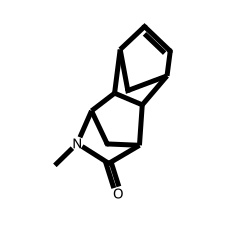 CN1C(=O)C2CC1C1C3C=CC(C3)C21